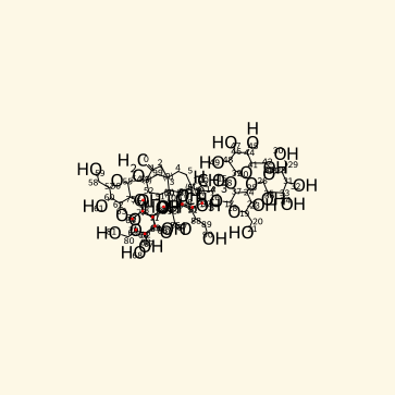 C=C1C[C@@]23CC[C@H]4[C@@](C)(CCC[C@@]4(C)C(=O)OC4OC(CO)C(O)C(OC5OC(CO)C(O)C(O)C5O)C4OC4OC(CO)C(O)C(O)C4O)[C@@H]2CC[C@]1(OC1OC(CO)C(O)C(OC2OC(CO)C(O)C(O)C2O)C1OC1OC(CO)C(O)C(OC2OC(CO)C(O)C(O)C2O)C1O)C3